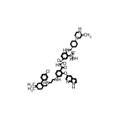 C[C@H]1CN([C@H]2CC[C@H](CNc3ccc(S(=O)(=O)NC(=O)c4ccc(NCCNCC5=C(c6ccc(Cl)cc6)CC(C)(C)CC5)cc4Oc4cnc5[nH]ccc5c4)cc3[NH+]([O-])O)CC2)CCN1